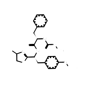 CCC1CSC([C@H](Cc2ccc(NS(=O)(=O)O)cc2)NC(=O)[C@@H](Cc2ccccc2)NC(=O)OC(C)(C)C)=N1